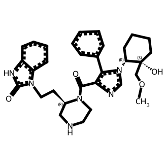 COC[C@]1(O)CCCC[C@H]1n1cnc(C(=O)N2CCNC[C@H]2CCn2c(=O)[nH]c3ccccc32)c1-c1ccccc1